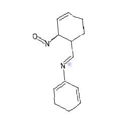 O=NC1C=CCCC1/C=N/C1=CCCC=C1